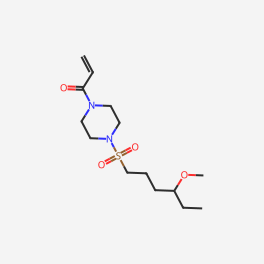 C=CC(=O)N1CCN(S(=O)(=O)CCCC(CC)OC)CC1